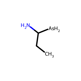 CCC(N)[AsH2]